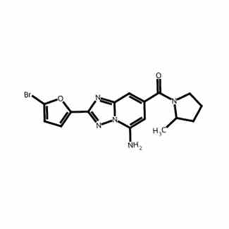 CC1CCCN1C(=O)c1cc(N)n2nc(-c3ccc(Br)o3)nc2c1